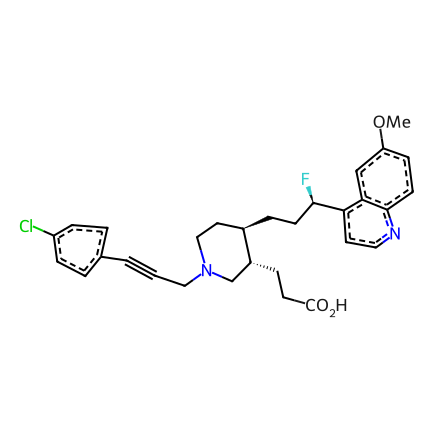 COc1ccc2nccc([C@H](F)CC[C@@H]3CCN(CC#Cc4ccc(Cl)cc4)C[C@H]3CCC(=O)O)c2c1